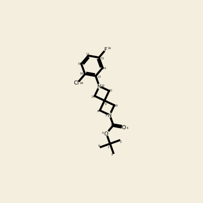 CC(C)(C)OC(=O)N1CC2(C1)CN(c1cc(F)ccc1Cl)C2